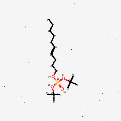 CCCCCC=CCCCOP(=O)(OC(C)(C)C)OC(C)(C)C